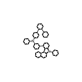 c1ccc(-c2ccccc2-c2ccc(N(c3ccccc3)c3cccc(-c4cccc5c4c4c6ccccc6ccc4n5-c4ccccc4)c3)cc2)cc1